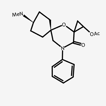 CN[C@H]1CC[C@]2(CC1)CN(c1ccccc1)C(=O)C1(CC1OC(C)=O)O2